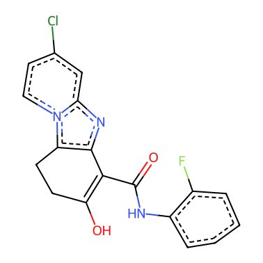 O=C(Nc1ccccc1F)C1=C(O)CCc2c1nc1cc(Cl)ccn21